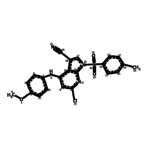 COc1ccc(Nc2nc(Cl)nc3c2c(C#N)cn3S(=O)(=O)c2ccc(C)cc2)cc1